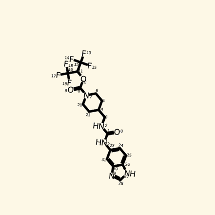 O=C(NCC1CCN(C(=O)OC(C(F)(F)F)C(F)(F)F)CC1)Nc1ccc2[nH]cnc2c1